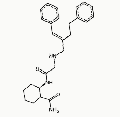 NC(=O)C1CCCC[C@H]1NC(=O)CNCC(=Cc1ccccc1)CCc1ccccc1